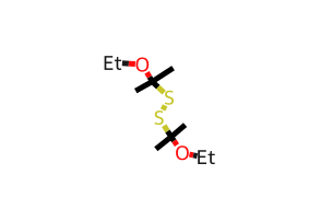 CCOC(C)(C)SSC(C)(C)OCC